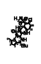 Cc1ccc([C@H](Nc2n[s+]([O-])nc2Nc2ccc(Cl)c(S(N)(=O)=O)c2O)C(C)(C)C)s1